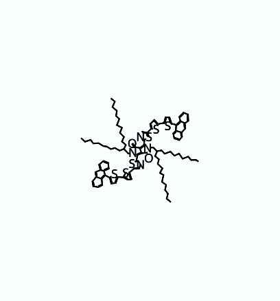 CCCCCCCCCCCCC(CCCCCCCCCC)CN1C(=O)C2=C(c3ncc(-c4ccc(-c5ccc(-c6c7ccccc7cc7ccccc67)s5)s4)s3)N(CC(CCCCCCCCCC)CCCCCCCCCCCC)C(=O)C2=C1c1ncc(-c2ccc(-c3ccc(-c4c5ccccc5cc5ccccc45)s3)s2)s1